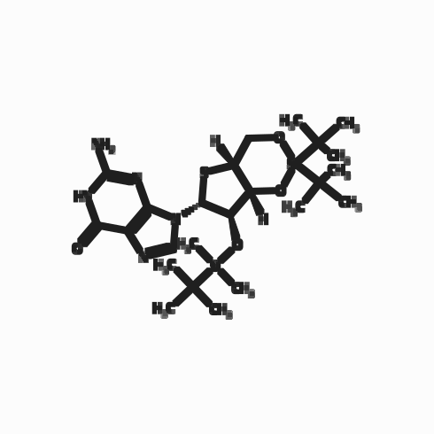 CC(C)(C)[Si](C)(C)O[C@@H]1[C@H]2O[Si](C(C)(C)C)(C(C)(C)C)OC[C@H]2S[C@H]1n1cnc2c(=O)[nH]c(N)nc21